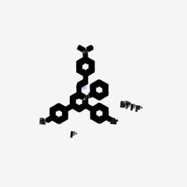 CN(C)c1ccc(/C=C/c2cc(-c3ccc(Br)cc3)cc(-c3ccc(Br)cc3)[n+]2-c2ccccc2)cc1.[B+3].[F-].[F-].[F-].[F-]